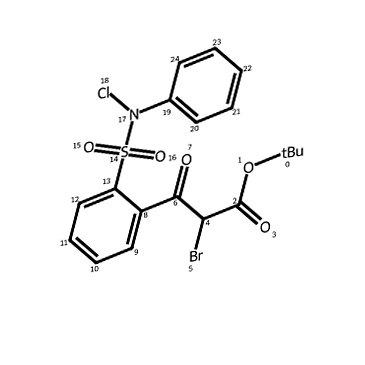 CC(C)(C)OC(=O)C(Br)C(=O)c1ccccc1S(=O)(=O)N(Cl)c1ccccc1